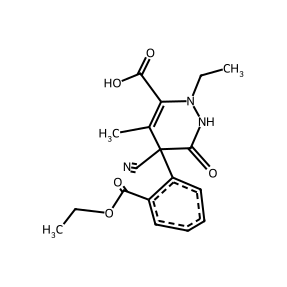 CCOC(=O)c1ccccc1C1(C#N)C(=O)NN(CC)C(C(=O)O)=C1C